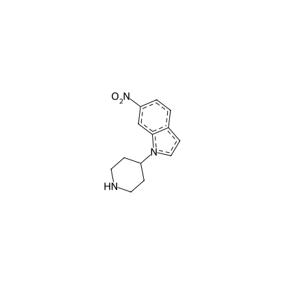 O=[N+]([O-])c1ccc2ccn(C3CCNCC3)c2c1